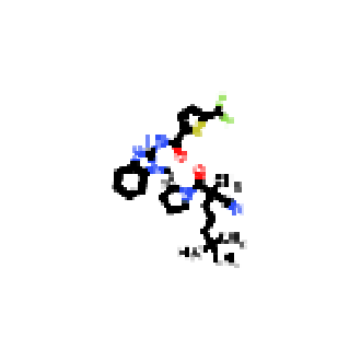 CC(C)(C)CCCC(C)(C#N)C(=O)N1CCC[C@@H]1Cn1c(NC(=O)c2ccc(C(F)F)s2)nc2ccccc21